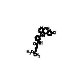 CN(C)C/C=C/C(=O)Nc1cccc(-n2nc(-c3ccc(Cl)cc3)c3c(N)ncnc32)c1